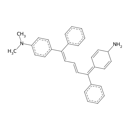 CN(C)c1ccc(C(=CC=CC(=C2C=CC(N)C=C2)c2ccccc2)c2ccccc2)cc1